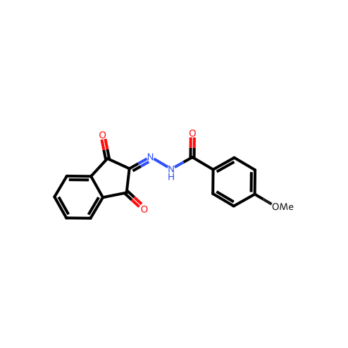 COc1ccc(C(=O)NN=c2c(=O)c3ccccc3c2=O)cc1